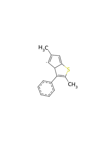 CC1=[C]C2C(=C1)SC(C)=C2c1ccccc1